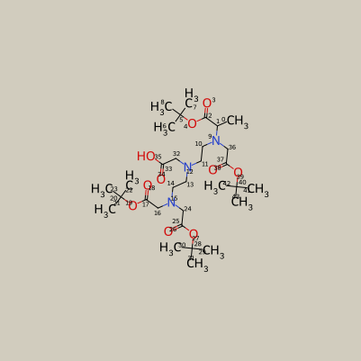 CC(C(=O)OC(C)(C)C)N(CCN(CCN(CC(=O)OC(C)(C)C)CC(=O)OC(C)(C)C)CC(=O)O)CC(=O)OC(C)(C)C